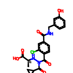 C[C@H](NN(C(=O)c1ccc(C(=O)NCc2cccc(O)c2)cc1Cl)C(=O)C1CC1)C(=O)O